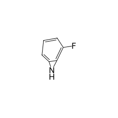 Fc1cccc2c1N2